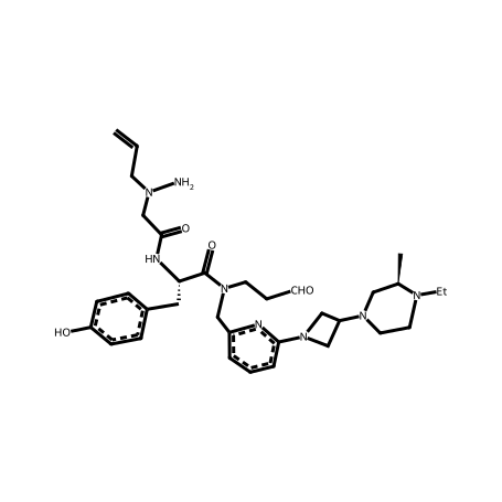 C=CCN(N)CC(=O)N[C@@H](Cc1ccc(O)cc1)C(=O)N(CCC=O)Cc1cccc(N2CC(N3CCN(CC)[C@H](C)C3)C2)n1